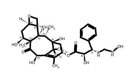 CC1=C2[C@@H](O)C(=O)[C@@]3(C)[C@H]([C@H](C)[C@](O)(C[C@@H]1OC(=O)[C@H](O)[C@@H](BCNO)c1ccccc1)C2(C)C)[C@]1(C)CO[C@@H]1C[C@@H]3O